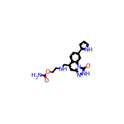 NC(=O)OCCNCc1cc2n[nH]c(=O)n2c2cc(-c3ccc[nH]3)ccc12